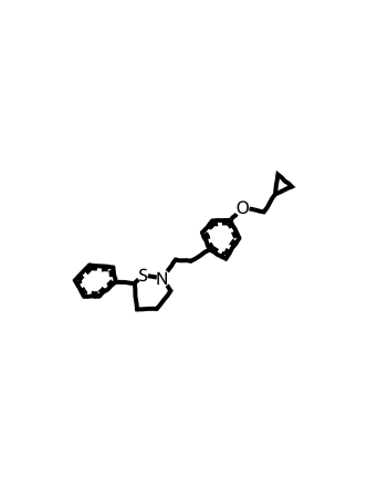 c1ccc(C2CCCN(CCc3ccc(OCC4CC4)cc3)S2)cc1